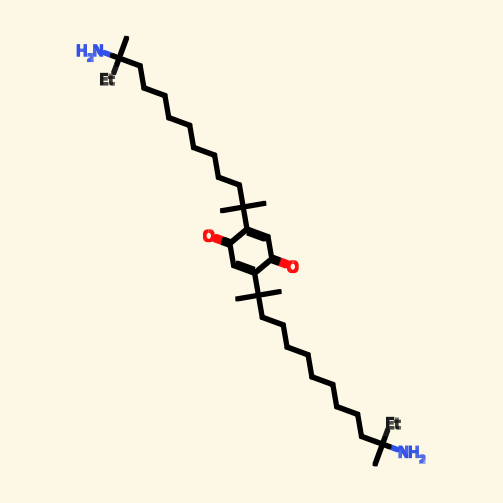 CCC(C)(N)CCCCCCCCCC(C)(C)C1=CC(=O)C(C(C)(C)CCCCCCCCCC(C)(N)CC)=CC1=O